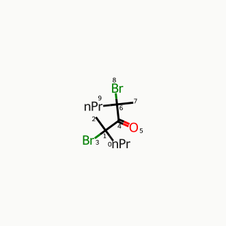 CCCC(C)(Br)C(=O)C(C)(Br)CCC